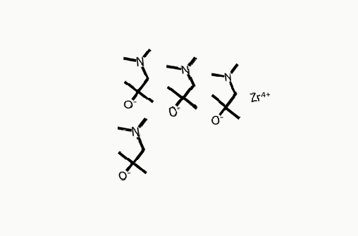 CN(C)CC(C)(C)[O-].CN(C)CC(C)(C)[O-].CN(C)CC(C)(C)[O-].CN(C)CC(C)(C)[O-].[Zr+4]